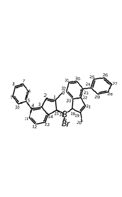 CC1=Cc2c(-c3ccccc3)cccc2C1B(Br)C1C(C)=Cc2c(-c3ccccc3)cccc21